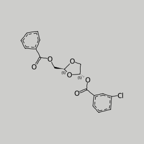 O=C(OC[C@H]1OC[C@H](OC(=O)c2cccc(Cl)c2)O1)c1ccccc1